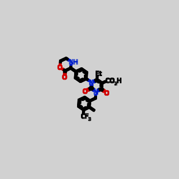 CCc1c(C(=O)O)c(=O)n(Cc2cccc(C(F)(F)F)c2C)c(=O)n1-c1ccc(C2NCCOC2=O)cc1